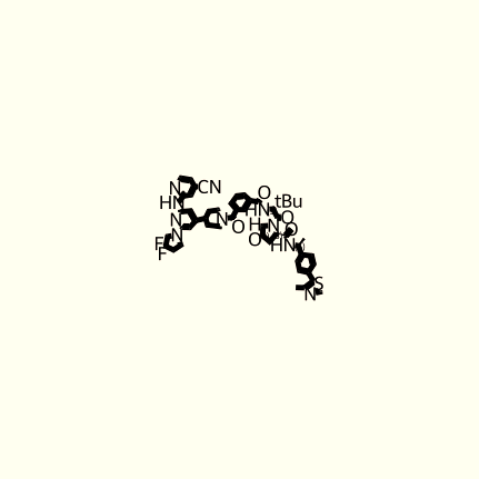 Cc1ncsc1-c1ccc([C@H](C)NC(=O)[C@@H]2C[C@@H](O)CN2C(=O)[C@@H](NC(=O)c2cccc(C(=O)N3CCC(c4cc(Nc5cc(C#N)ccn5)nc(N5CCC(F)(F)C5)c4)CC3)c2)C(C)(C)C)cc1